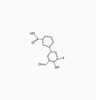 O=Cc1cc(-c2cccc(C(=O)O)c2)cc(F)c1O